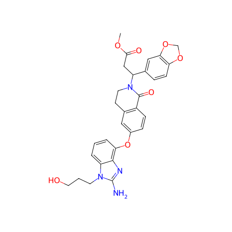 COC(=O)CC(c1ccc2c(c1)OCO2)N1CCc2cc(Oc3cccc4c3nc(N)n4CCCO)ccc2C1=O